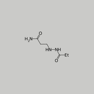 CCC(=O)NNCCC(N)=O